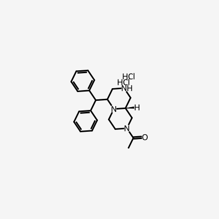 CC(=O)N1CCN2C(C(c3ccccc3)c3ccccc3)CNC[C@@H]2C1.Cl.Cl